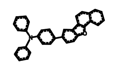 c1ccc(N(c2ccccc2)c2ccc(-c3ccc4oc5c6ccccc6ccc5c4c3)cc2)cc1